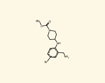 CC(C)(C)OC(=O)N1CCC(Nc2ccc(Br)cc2CN)CC1